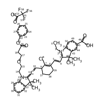 CC[N+]1=C(/C=C/C2=C(Cl)C(C=C=C3N(CCOCCC(=O)Oc4ccccc4)c4ccccc4C3(C)C)CCC2)C(C)(C)c2cc(C(=O)O)ccc21.O=C([O-])C(F)(F)F